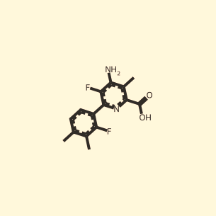 Cc1ccc(-c2nc(C(=O)O)c(C)c(N)c2F)c(F)c1C